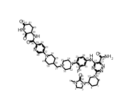 CN1CCN([C@@H]2CCCN(c3nnc(C(N)=O)c(Nc4ccc(N5CCN(CC6CCN(c7ccc(C(=O)NC8CCC(=O)NC8=O)nc7)CC6)CC5)c(F)c4)n3)C2)C1=O